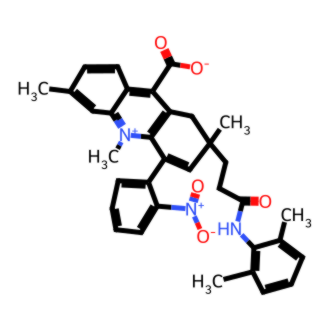 Cc1ccc2c(C(=O)[O-])c3c([n+](C)c2c1)C(c1ccccc1[N+](=O)[O-])=CC(C)(CCC(=O)Nc1c(C)cccc1C)C3